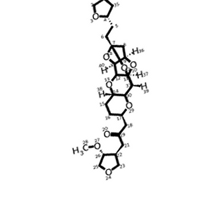 C=C1CO[C@@H](CC[C@@]23C[C@H]4O[C@@H]5C(O[C@H]6CC[C@H](CC(=O)C[C@H]7COC[C@@H]7OC)OC6[C@@H]5O2)[C@H]4O3)C1